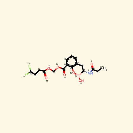 CCC(=O)N[C@H]1Cc2cccc(C(=O)OCOC(=O)CCC(F)F)c2OB1O